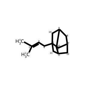 CC(C)=CCC12CC3CC(CC(C3)C1)C2